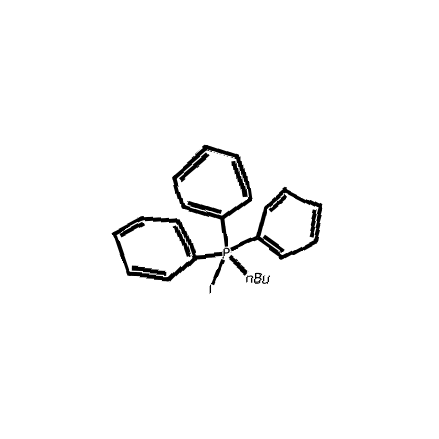 CCCCP(I)(c1ccccc1)(c1ccccc1)c1ccccc1